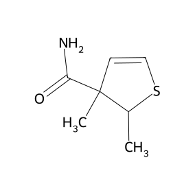 CC1SC=CC1(C)C(N)=O